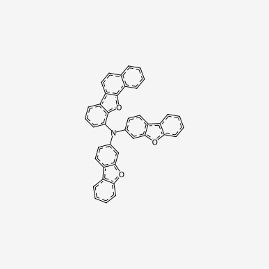 c1ccc2c(c1)ccc1c3cccc(N(c4ccc5c(c4)oc4ccccc45)c4ccc5c(c4)oc4ccccc45)c3oc21